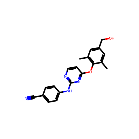 Cc1cc(CO)cc(C)c1Oc1ccnc(Nc2ccc(C#N)cc2)n1